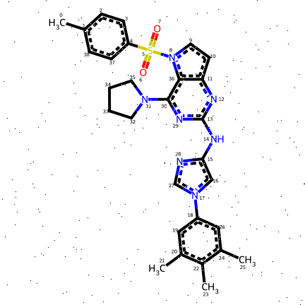 Cc1ccc(S(=O)(=O)n2ccc3nc(Nc4cn(-c5cc(C)c(C)c(C)c5)cn4)nc(N4CCCC4)c32)cc1